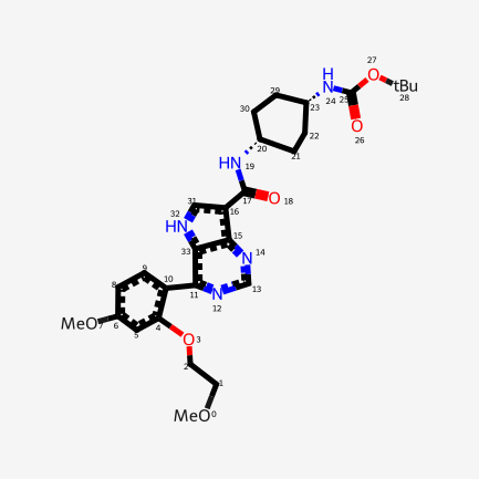 COCCOc1cc(OC)ccc1-c1ncnc2c(C(=O)N[C@H]3CC[C@@H](NC(=O)OC(C)(C)C)CC3)c[nH]c12